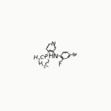 CCP(C)c1ccncc1Nc1ccc(Br)cc1F